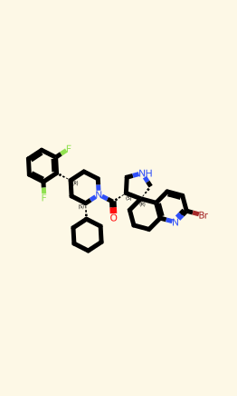 O=C([C@@H]1CNC[C@]12CCCc1nc(Br)ccc12)N1CC[C@@H](c2c(F)cccc2F)C[C@H]1C1CCCCC1